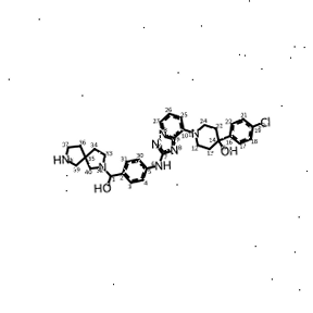 OC(c1ccc(Nc2nc3c(N4CCC(O)(c5ccc(Cl)cc5)CC4)cccn3n2)cc1)N1CCC2(CCNC2)C1